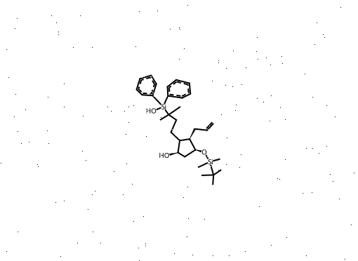 C=CC[C@@H]1C(CCC(C)(C)[Si](O)(c2ccccc2)c2ccccc2)[C@H](O)C[C@@H]1O[Si](C)(C)C(C)(C)C